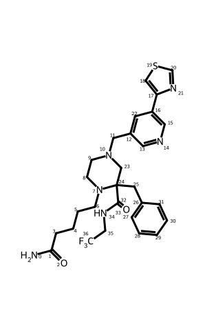 NC(=O)CCCCN1CCN(Cc2cncc(-c3cscn3)c2)CC1(Cc1ccccc1)C(=O)NCC(F)(F)F